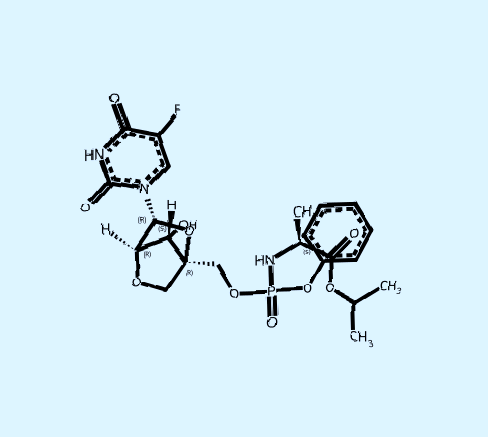 CC(C)OC(=O)[C@H](C)NP(=O)(OC[C@@]12CO[C@@H]([C@H](n3cc(F)c(=O)[nH]c3=O)O1)[C@@H]2O)Oc1ccccc1